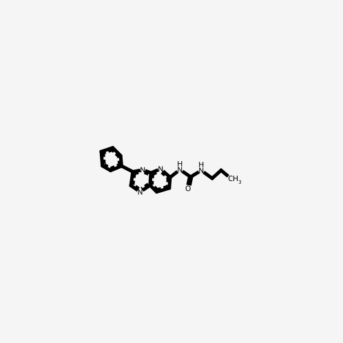 CCCNC(=O)Nc1ccc2ncc(-c3ccccc3)nc2n1